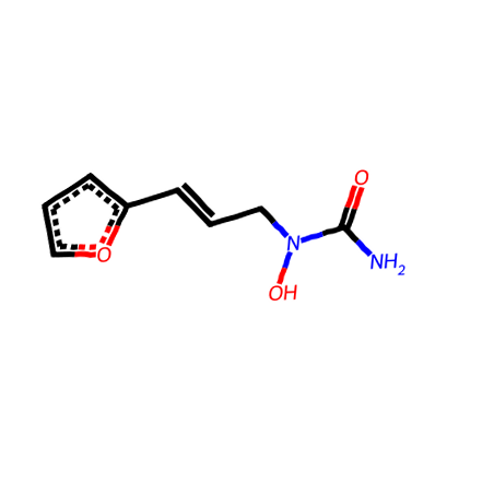 NC(=O)N(O)CC=Cc1ccco1